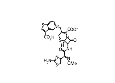 CON=C(C(=O)NC1C(=O)N2C(C(=O)[O-])=C(C[n+]3ccc4scc(C(=O)O)c4c3)CS[C@@H]12)c1csc(N)n1